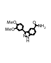 COc1ccc(-c2n[nH]c3ccc(C(N)=O)cc23)cc1OC